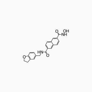 O=C(NO)c1ccc2cc(C(=O)NCc3ccc4c(c3)CCO4)ccc2c1